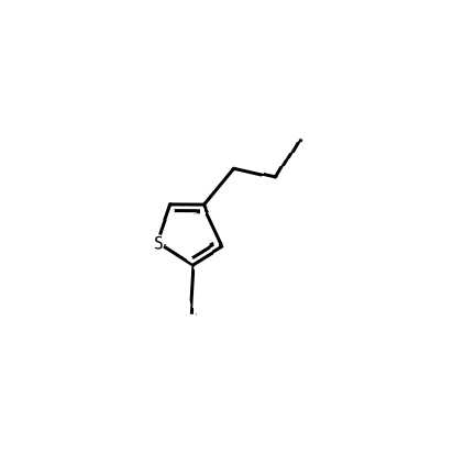 [CH2]c1cc(CCC)cs1